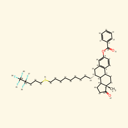 C[C@]12CCC3c4ccc(OC(=O)c5ccccc5)cc4C[C@@H](CCCCCCCCCSCCCC(F)(F)C(F)(F)F)C3C1CCC2=O